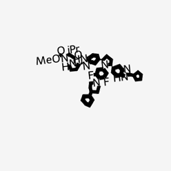 COC(=O)N[C@H](C(=O)N1CCC[C@H]1c1nc2cc([C@H]3CC[C@H](c4ccc5[nH]c(C6CCCC6)nc5c4)N3c3cc(F)c(N4CCC(c5ccccc5)CC4)c(F)c3)ccc2[nH]1)C(C)C